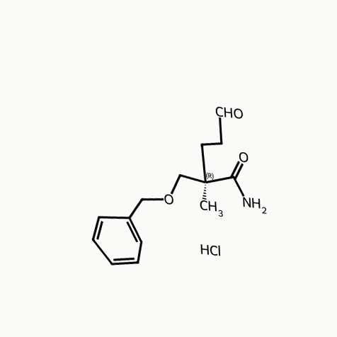 C[C@@](CCC=O)(COCc1ccccc1)C(N)=O.Cl